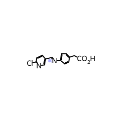 O=C(O)Cc1ccc(/N=C/c2ccc(Cl)nc2)cc1